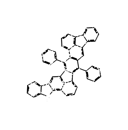 c1ccc(-c2c3cc4c5ccccc5c5cccc(c3c(-c3ccccc3)c3c6cc7c8ccccc8[nH]c7c7cccc(c23)c76)c54)cc1